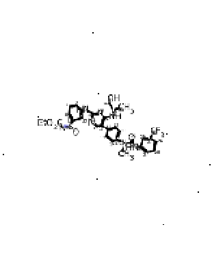 CCOC(=O)/N=[SH](=O)\c1cccc(Nc2ncc(-c3ccc(N(C)C(=O)Nc4cccc(C(F)(F)F)c4)cc3)c(NC(C)CO)n2)c1